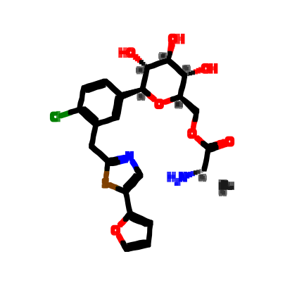 CC[C@H](C)[C@H](N)C(=O)OC[C@H]1O[C@@H](c2ccc(Cl)c(Cc3ncc(-c4ccco4)s3)c2)[C@H](O)[C@@H](O)[C@@H]1O